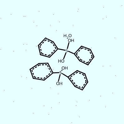 O.OS(O)(c1ccccc1)c1ccccc1.OS(O)(c1ccccc1)c1ccccc1